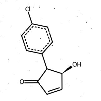 O=C1C=C[C@H](O)C1c1ccc(Cl)cc1